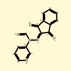 O=CN(N=c1c(=O)c2ccccc2c1=O)c1cccnc1